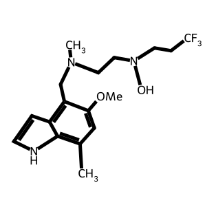 COc1cc(C)c2[nH]ccc2c1CN(C)CCN(O)CCC(F)(F)F